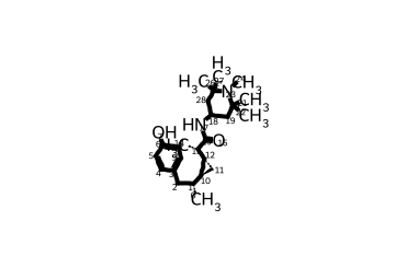 C[C@H](Cc1ccc(O)cc1)[C@@H]1C[C@H]1[C@H](C)C(=O)NC1CC(C)(C)N(C)C(C)(C)C1